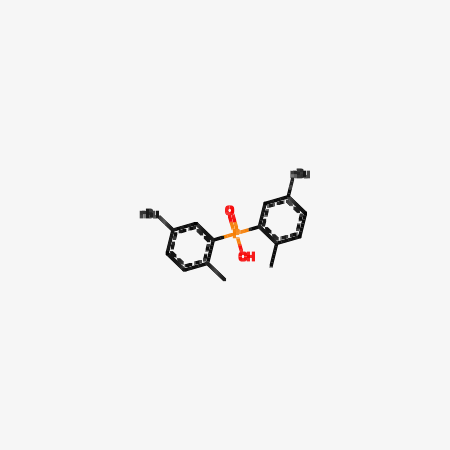 CCCCc1ccc(C)c(P(=O)(O)c2cc(CCCC)ccc2C)c1